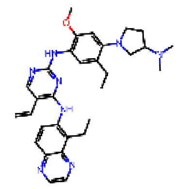 C=Cc1cnc(Nc2cc(CC)c(N3CCC(N(C)C)C3)cc2OC)nc1Nc1ccc2nccnc2c1CC